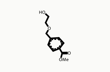 COC(=O)c1ccc(COCCO)cc1